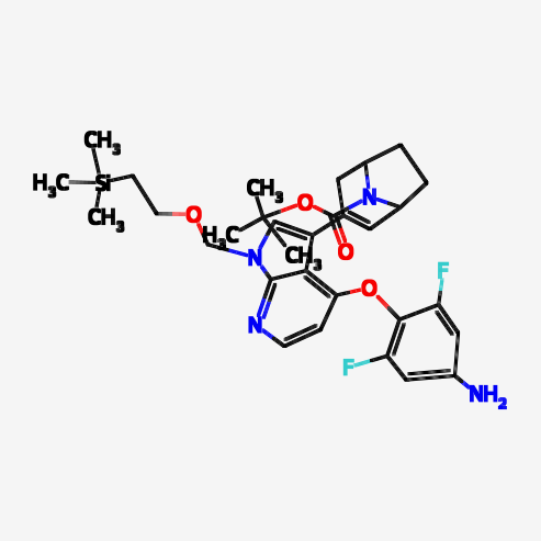 CC(C)(C)OC(=O)N1C2C=C(c3cn(COCC[Si](C)(C)C)c4nccc(Oc5c(F)cc(N)cc5F)c34)CC1CC2